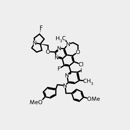 COc1ccc(CN(Cc2ccc(OC)cc2)c2cc(C)c(I)c(-c3c(Cl)c4c5c(nc(OC[C@@]67CCCN6C[C@H](F)C7)nc5c3F)N(C)CCO4)n2)cc1